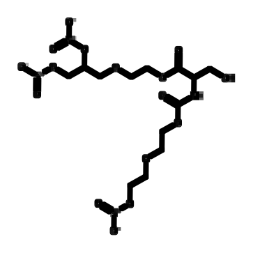 O=C(NC(CO)C(=O)OCCOCC(CO[N+](=O)[O-])O[N+](=O)[O-])OCCOCCO[N+](=O)[O-]